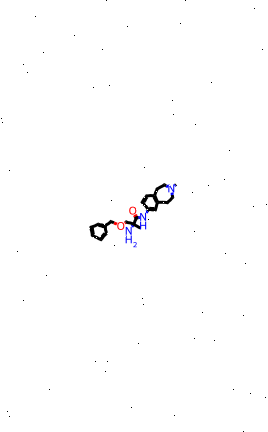 CN1CCc2ccc(NC(=O)C(C)(N)COCc3ccccc3)cc2CC1